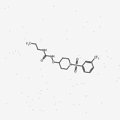 O=C(NCCC(F)(F)F)NOC1CCN(S(=O)(=O)c2cccc(C(F)(F)F)c2)CC1